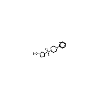 N#CN1CCC(S(=O)(=O)N2CCN(c3ccccn3)CC2)C1